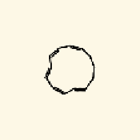 C1=C\C=C\C=C/C=C/CCC\C=C/1